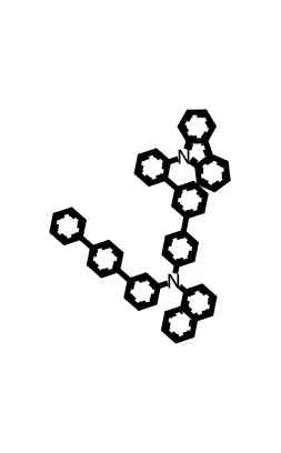 c1ccc(-c2ccc(-c3cccc(N(c4ccc(-c5cccc(-c6ccccc6-n6c7ccccc7c7ccccc76)c5)cc4)c4cccc5ccccc45)c3)cc2)cc1